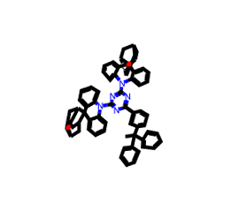 CC(c1ccccc1)(c1ccccc1)c1cccc(-c2nc(N3c4ccccc4C4(c5ccccc53)C3CC5CC(C3)CC4C5)nc(N3c4ccccc4C4(c5ccccc53)C3CC5CC(C3)CC4C5)n2)c1